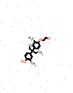 CCC(CC)(c1ccc(O)c(C)c1)c1ccc(OCC=O)c(C)c1